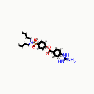 CCCCN(CCCC)S(=O)(=O)c1ccc(OC(=O)c2ccc(NC(=N)N)cc2)cc1